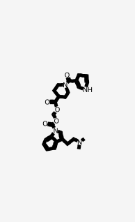 CN(C)CCc1cn(C(=O)OCOC(=O)C2CCN(C(=O)C3=CNC=CC3)CC2)c2ccccc12